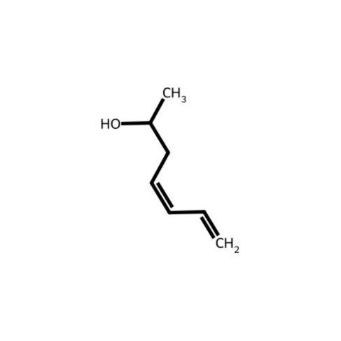 C=C/C=C\CC(C)O